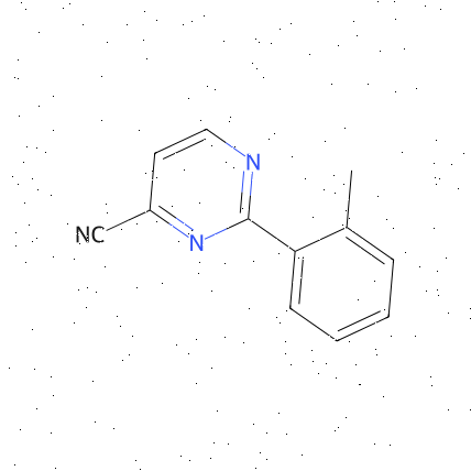 Cc1ccccc1-c1nccc(C#N)n1